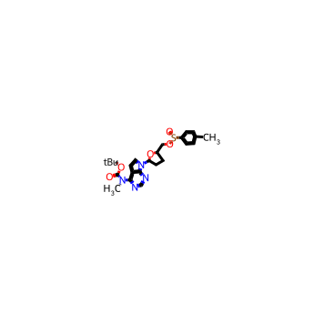 Cc1ccc(S(=O)OCC2CCC(n3ccc4c(N(C)C(=O)OC(C)(C)C)ncnc43)O2)cc1